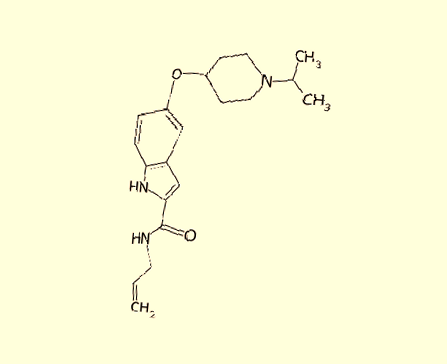 C=CCNC(=O)c1cc2cc(OC3CCN(C(C)C)CC3)ccc2[nH]1